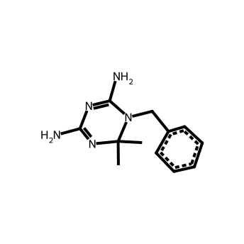 CC1(C)N=C(N)N=C(N)N1Cc1ccccc1